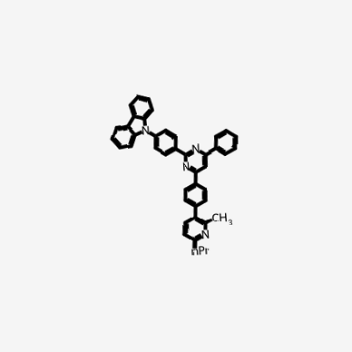 CCCc1ccc(-c2ccc(-c3cc(-c4ccccc4)nc(-c4ccc(-n5c6ccccc6c6ccccc65)cc4)n3)cc2)c(C)n1